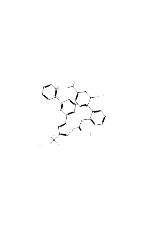 C=C(Cc1ccccc1C1=CC=C(C(C)C)CC1I)n1cc(C(C)(C)C)cc1-c1cccc(-c2ccccc2)c1